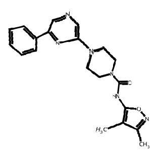 Cc1noc(NC(=O)N2CCN(c3cncc(-c4ccccc4)n3)CC2)c1C